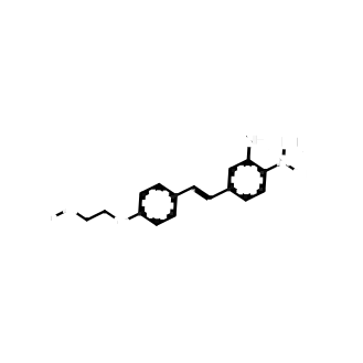 CCOCCOc1ccc(/C=C/c2ccc(N(C)P)c(N)c2)cc1